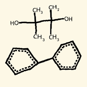 CC(C)(O)C(C)(C)O.c1ccc(-c2ccccc2)cc1